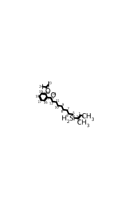 CC=C(C)[SiH2]CCCCCCCCC(=O)c1ccccc1OC(I)I